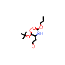 C=CCOC(=O)N[C@@H](CC=O)C(=O)OC(C)(C)C